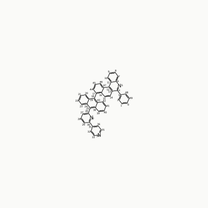 c1ccc(-c2nc3ccccc3c3c2ccc2c(-c4c5ccccc5c(-c5cccc(-c6ccncc6)n5)c5ccccc45)cccc23)cc1